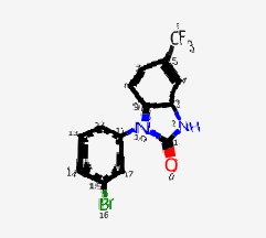 O=C1NC2C=C(C(F)(F)F)C=CC2N1c1cccc(Br)c1